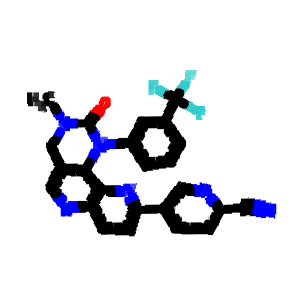 CN1Cc2cnc3ccc(-c4ccc(C#N)nc4)nc3c2N(c2cccc(C(F)(F)F)c2)C1=O